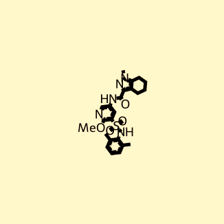 COc1ncc(NC(=O)c2nn(C)c3c2CCCC3)cc1S(=O)(=O)Nc1c(C)cccc1C